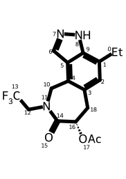 CCc1cc2c(c3cn[nH]c13)CN(CC(F)(F)F)C(=O)[C@@H](OC(C)=O)C2